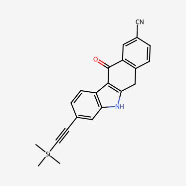 C[Si](C)(C)C#Cc1ccc2c3c([nH]c2c1)Cc1ccc(C#N)cc1C3=O